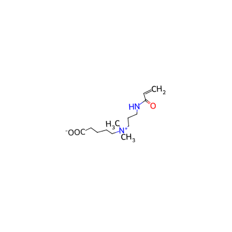 C=CC(=O)NCCC[N+](C)(C)CCCCC(=O)[O-]